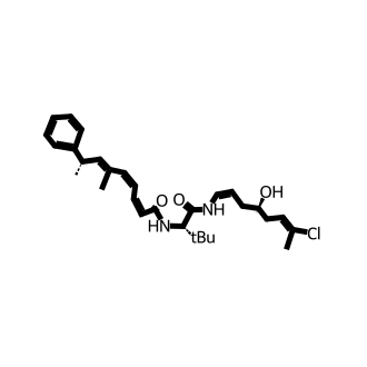 C/C(Cl)=C\C[C@H](O)C/C=C\NC(=O)[C@@H](NC(=O)\C=C/C=C\C(C)=C\[C@H](C)c1ccccc1)C(C)(C)C